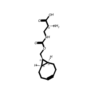 N[C@H](CNC(=O)OC[C@@H]1[C@@H]2CCC#CCC[C@@H]21)C(=O)O